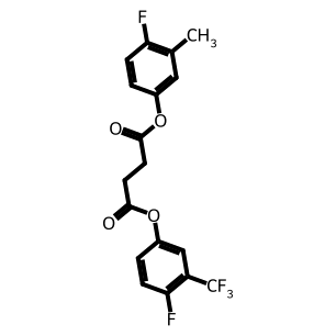 Cc1cc(OC(=O)CCC(=O)Oc2ccc(F)c(C(F)(F)F)c2)ccc1F